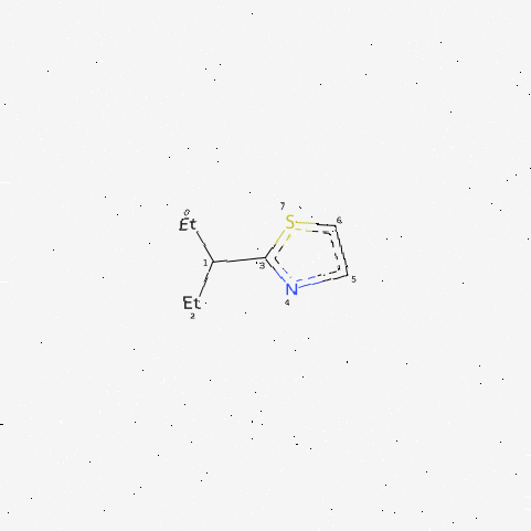 CCC(CC)c1nccs1